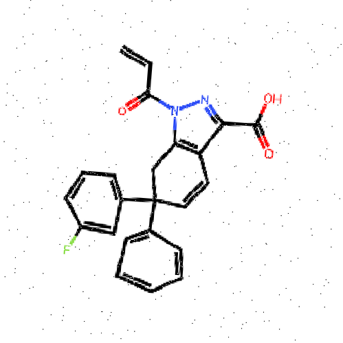 C=CC(=O)n1nc(C(=O)O)c2c1CC(c1ccccc1)(c1cccc(F)c1)C=C2